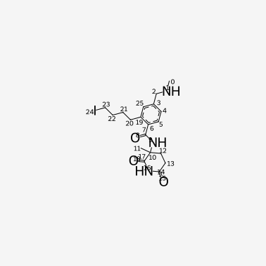 CNCc1ccc(C(=O)NC2(C)CCC(=O)NC2=O)c(CCCCI)c1